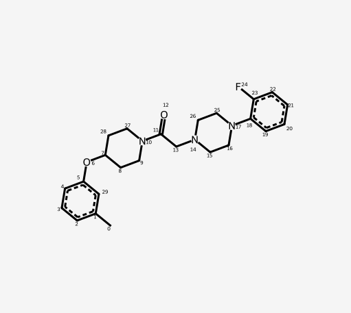 Cc1cccc(OC2CCN(C(=O)CN3CCN(c4ccccc4F)CC3)CC2)c1